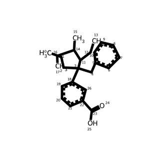 CCCC(Cc1ccccc1)([C](CC)C(C)CC)c1cccc(C(=O)O)c1